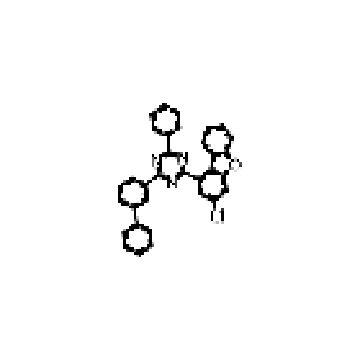 Clc1cc(-c2nc(-c3ccccc3)nc(-c3cccc(-c4ccccc4)c3)n2)c2c(c1)oc1ccccc12